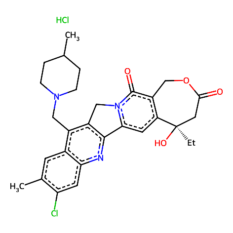 CC[C@@]1(O)CC(=O)OCc2c1cc1n(c2=O)Cc2c-1nc1cc(Cl)c(C)cc1c2CN1CCC(C)CC1.Cl